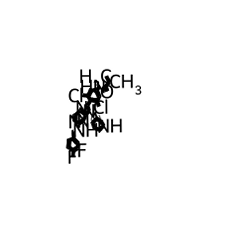 CC(C)C(=O)Nc1cc(Cl)c(-c2nc3cnc(NCc4ccc(F)c(F)c4)nc3n2C[C@@H]2CCCNC2)c(Cl)c1